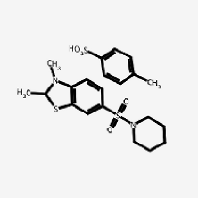 CC1Sc2cc(S(=O)(=O)N3CCCCC3)ccc2N1C.Cc1ccc(S(=O)(=O)O)cc1